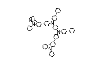 c1ccc(-c2ccc(N(c3ccc(-c4ccc5c(c4)c4ccccc4n5-c4ccccc4)cc3)c3ccc(N(c4ccc(-c5ccccc5)cc4)c4ccc(-c5ccc6c(c5)c5cccnc5n6-c5ccccc5)cc4)cc3)cc2)cc1